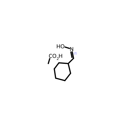 CC(=O)O.O/N=C\C1CCCCC1